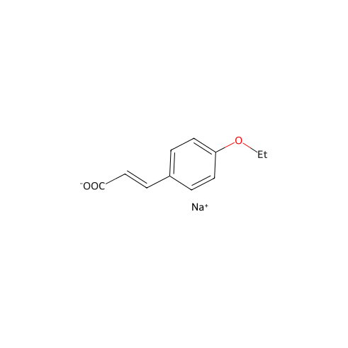 CCOc1ccc(C=CC(=O)[O-])cc1.[Na+]